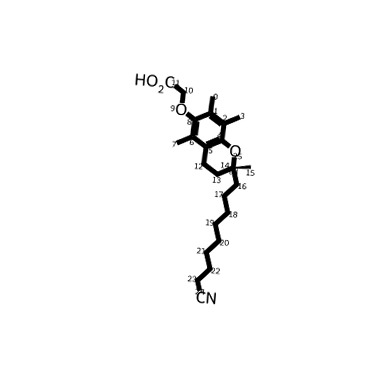 Cc1c(C)c2c(c(C)c1OCC(=O)O)CC[C@@](C)(CCCCCCCCC#N)O2